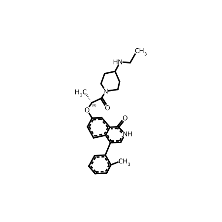 CCNC1CCN(C(=O)[C@@H](C)Oc2ccc3c(-c4ccccc4C)c[nH]c(=O)c3c2)CC1